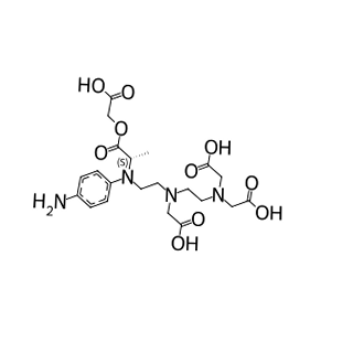 C[C@@H](C(=O)OCC(=O)O)N(CCN(CCN(CC(=O)O)CC(=O)O)CC(=O)O)c1ccc(N)cc1